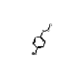 CC(C)(C)c1ccc(SOCl)cc1